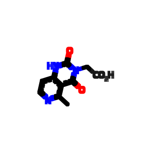 Cc1nccc2[nH]c(=O)n(CC(=O)O)c(=O)c12